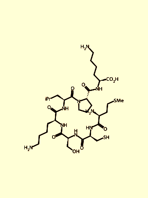 CSCC[C@H](N)C(=O)N[C@@H](CS)C(=O)N[C@@H](CO)C(=O)N[C@@H](CCCCN)C(=O)N[C@@H](CC(C)C)C(=O)N1CCC[C@H]1C(=O)N[C@@H](CCCCN)C(=O)O